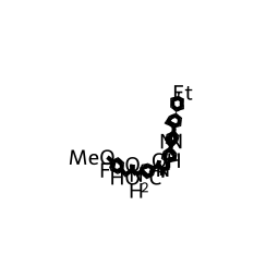 CC[C@H]1CC[C@H](C2CC=C(c3cnc(-c4ccc(CN(CC(=O)O)C(O)c5ccc(NC(=O)Cc6ccc(OC)c(F)c6)cc5)cc4)nc3)CC2)CC1